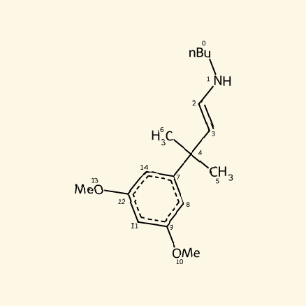 CCCCN/C=C/C(C)(C)c1cc(OC)cc(OC)c1